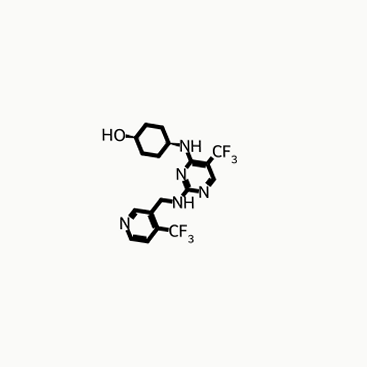 O[C@H]1CC[C@@H](Nc2nc(NCc3cnccc3C(F)(F)F)ncc2C(F)(F)F)CC1